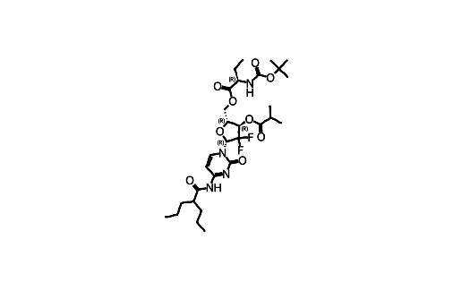 CCCC(CCC)C(=O)Nc1ccn([C@@H]2O[C@H](COC(=O)[C@@H](CC)NC(=O)OC(C)(C)C)[C@@H](OC(=O)C(C)C)C2(F)F)c(=O)n1